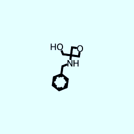 OCC1(NCc2ccccc2)COC1